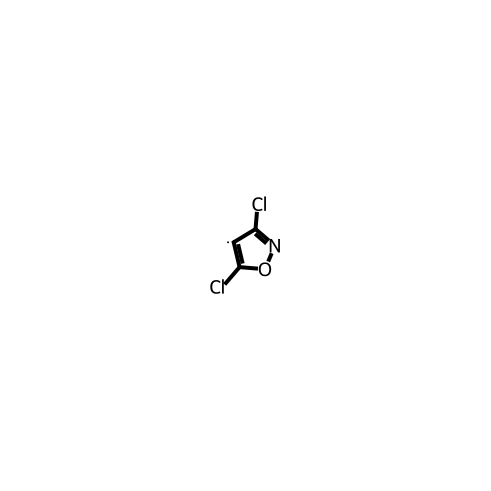 Clc1[c]c(Cl)on1